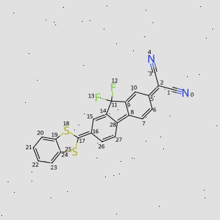 N#CC(C#N)=c1ccc2c(c1)C(F)(F)c1cc(=C3Sc4ccccc4S3)ccc1=2